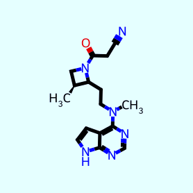 C[C@H]1CN(C(=O)CC#N)C1CCN(C)c1ncnc2[nH]ccc12